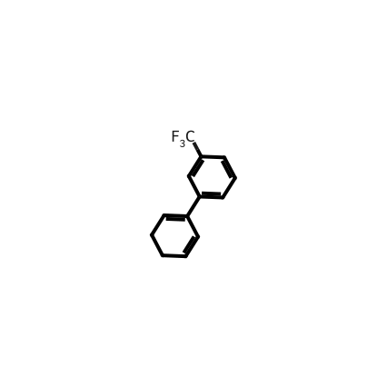 FC(F)(F)c1cccc(C2=CCCC=C2)c1